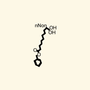 CCCCCCCCCC(CCCCCCCCC(=O)OCc1ccccc1)C(O)O